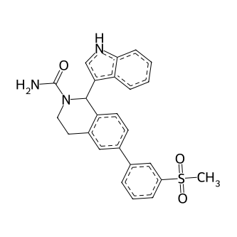 CS(=O)(=O)c1cccc(-c2ccc3c(c2)CCN(C(N)=O)C3c2c[nH]c3ccccc23)c1